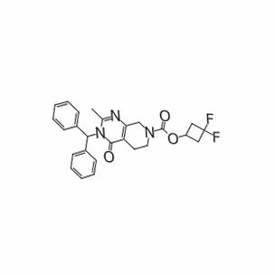 Cc1nc2c(c(=O)n1C(c1ccccc1)c1ccccc1)CCN(C(=O)OC1CC(F)(F)C1)C2